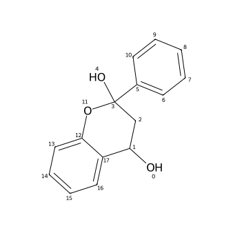 OC1CC(O)(c2ccccc2)Oc2ccccc21